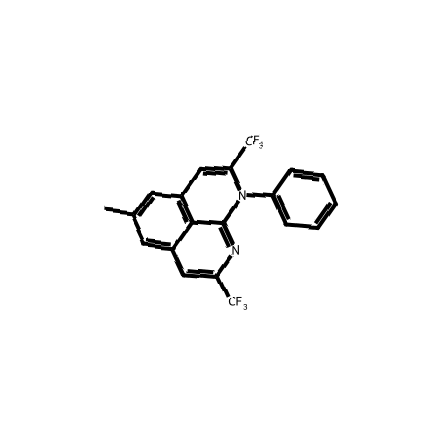 Cc1cc2c3c(nc(C(F)(F)F)cc3c1)N(c1ccccc1)C(C(F)(F)F)=C2